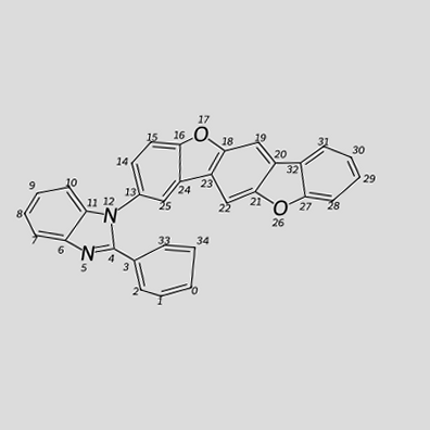 c1ccc(-c2nc3ccccc3n2-c2ccc3oc4cc5c(cc4c3c2)oc2ccccc25)cc1